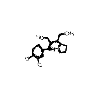 OCc1c(CO)c(-c2ccc(Cl)c(Cl)c2)n2c1CCC2